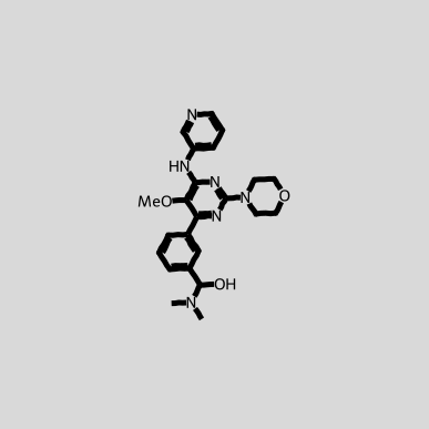 COc1c(Nc2cccnc2)nc(N2CCOCC2)nc1-c1cccc(C(O)N(C)C)c1